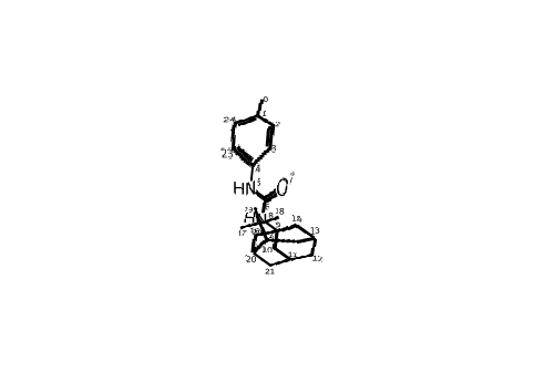 Cc1ccc(NC(=O)NC23CC4CC(C2)C(C(C)(C)C)C(C4)C3)cc1